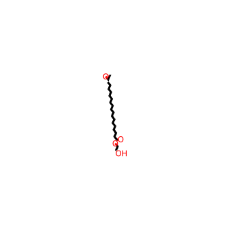 C1CO1.CCCCCCCCCCCCCCCCCC(=O)OCCO